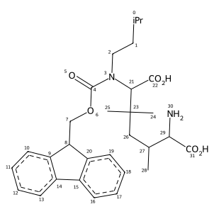 CC(C)CCN(C(=O)OCC1c2ccccc2-c2ccccc21)C(C(=O)O)C(C)(C)CC(C)C(N)C(=O)O